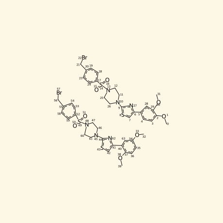 COc1ccc(-c2csc(N3CCN(S(=O)(=O)c4ccc(CBr)cc4)CC3)n2)cc1OC.COc1ccc(OC)c(-c2csc(N3CCN(S(=O)(=O)c4ccc(CBr)cc4)CC3)n2)c1